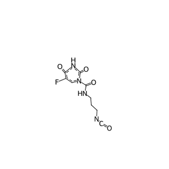 O=C=NCCCNC(=O)n1cc(F)c(=O)[nH]c1=O